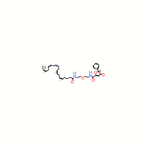 CC/C=C\C/C=C\C/C=C\C/C=C\C/C=C\CCCC(=O)NCCOCCNC(=O)C1=CC(=O)C(C)(c2ccccc2)O1